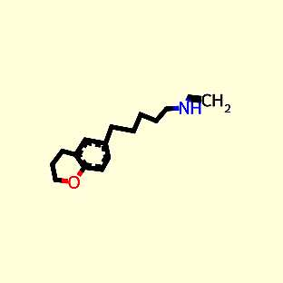 C=CNCCCCCc1ccc2c(c1)CCCO2